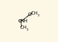 CCCCCc1ccccc1NCCCCCCCCOCCC